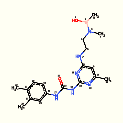 CB(O)N(C)CCNc1cc(C)nc(NC(=O)Nc2ccc(C)c(C)c2)n1